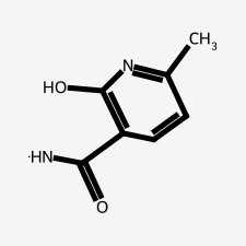 Cc1ccc(C([NH])=O)c(O)n1